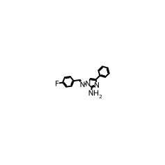 Nc1nc(-c2ccccc2)cn1N=Cc1ccc(F)cc1